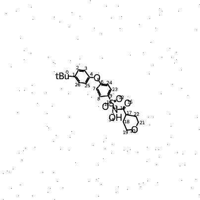 CC(C)(C)c1ccc(Oc2ccc(S(=O)(=O)N(O)C(=O)C3CCOCC3)cc2)cc1